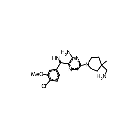 COc1cc(C(=N)c2ncc(N3CCC(C)(CN)CC3)nc2N)ccc1Cl